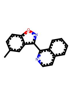 Cc1ccc2onc(-c3nccc4ccccc34)c2c1